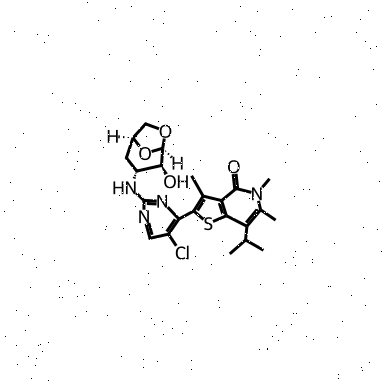 Cc1c(-c2nc(N[C@@H]3C[C@H]4CO[C@H](O4)[C@H]3O)ncc2Cl)sc2c(C(C)C)c(C)n(C)c(=O)c12